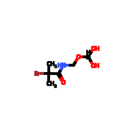 CC(C)(Br)C(=O)NCO[SiH](O)O